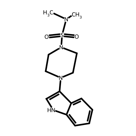 CN(C)S(=O)(=O)N1CCN(c2c[nH]c3ccccc23)CC1